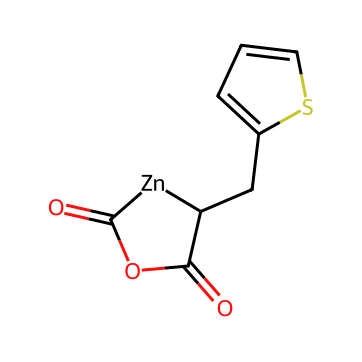 O=[C]1OC(=O)[CH](Cc2cccs2)[Zn]1